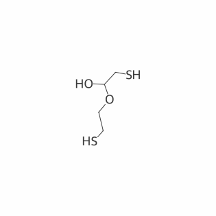 OC(CS)OCCS